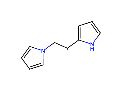 [CH](Cn1cccc1)c1ccc[nH]1